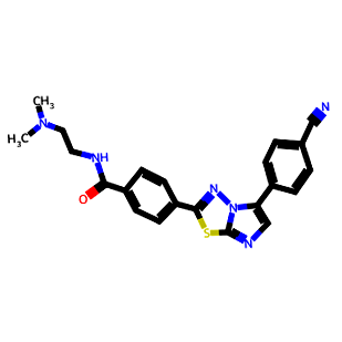 CN(C)CCNC(=O)c1ccc(-c2nn3c(-c4ccc(C#N)cc4)cnc3s2)cc1